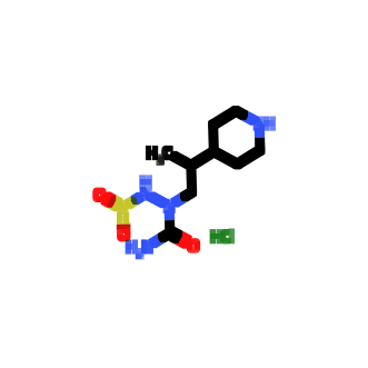 CC(CN(N[SH](=O)=O)C(N)=O)C1CCNCC1.Cl